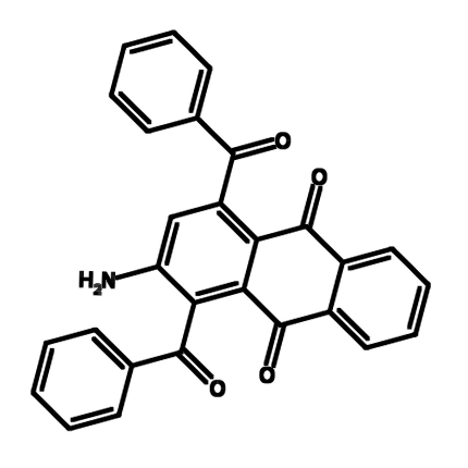 Nc1cc(C(=O)c2ccccc2)c2c(c1C(=O)c1ccccc1)C(=O)c1ccccc1C2=O